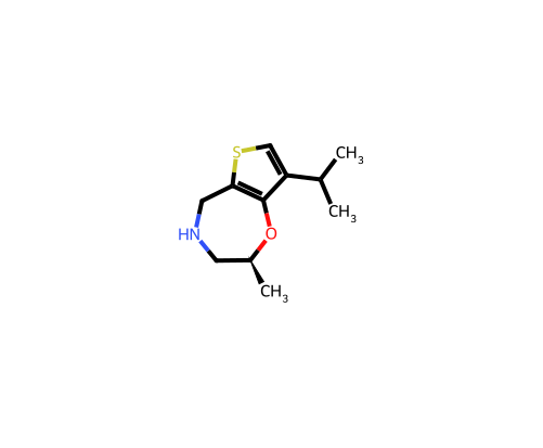 CC(C)c1csc2c1O[C@@H](C)CNC2